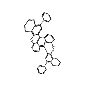 c1ccc(-c2cc3c(sc4cccc5c4c3c3cccc4sc6c7c(c(-c8ccccc8)cc6c5c43)CCCC7)c3c2CCCC3)cc1